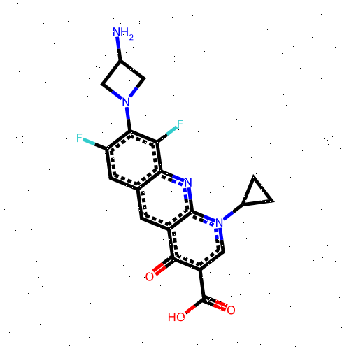 NC1CN(c2c(F)cc3cc4c(=O)c(C(=O)O)cn(C5CC5)c4nc3c2F)C1